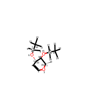 C[C@@H]1OC=C[C@H](O[Si](C)(C)C(C)(C)C)[C@H]1O[Si](C)(C)C(C)(C)C